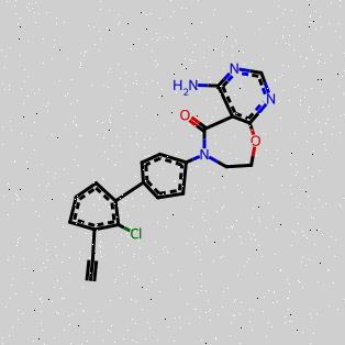 C#Cc1cccc(-c2ccc(N3CCOc4ncnc(N)c4C3=O)cc2)c1Cl